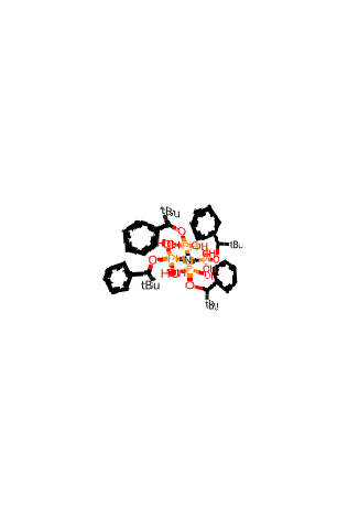 CC(C)(C)C(O[PH](O)(O)[Ni]([PH](O)(O)OC(c1ccccc1)C(C)(C)C)([PH](O)(O)OC(c1ccccc1)C(C)(C)C)[PH](O)(O)OC(c1ccccc1)C(C)(C)C)c1ccccc1